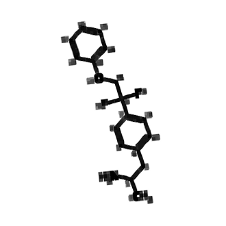 CC(N)Cc1ccc(C(F)(F)COc2ccccc2)cc1